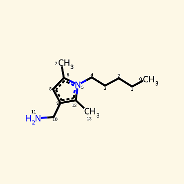 CCCCCn1c(C)cc(CN)c1C